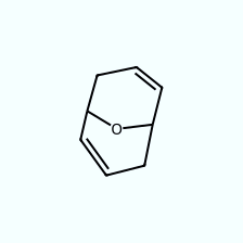 C1=CC2CC=CC(C1)O2